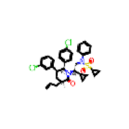 C=CC[C@@]1(C)CC(c2cccc(Cl)c2)[C@@H](c2ccc(Cl)cc2)N([C@H](CN(c2ccccc2)S(=O)(=O)C2CC2)C2CC2)C1=O